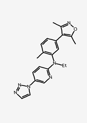 CCN(c1ccc(-n2ccnn2)cn1)c1cc(-c2c(C)noc2C)ccc1C